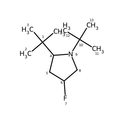 CC(C)(C)C1CC(F)CN1C(C)(C)C